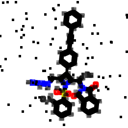 CCCCC([C@@H]1[C@@H](c2ccc(C#Cc3ccccc3)cc2)[C@H](CN=[N+]=[N-])N1S(=O)(=O)c1ccccc1[N+](=O)[O-])N1C(=O)c2ccccc2C1=O